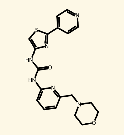 O=C(Nc1cccc(CN2CCOCC2)n1)Nc1csc(-c2ccncc2)n1